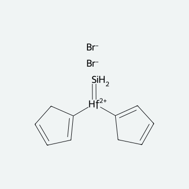 [Br-].[Br-].[SiH2]=[Hf+2]([C]1=CC=CC1)[C]1=CC=CC1